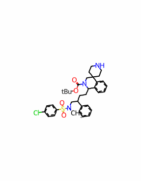 CN(CC(CCC1c2ccccc2C2(CCNCC2)CN1C(=O)OC(C)(C)C)c1ccccc1)S(=O)(=O)c1ccc(Cl)cc1